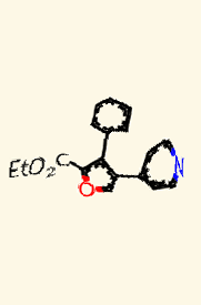 CCOC(=O)c1occ(-c2ccncc2)c1-c1ccccc1